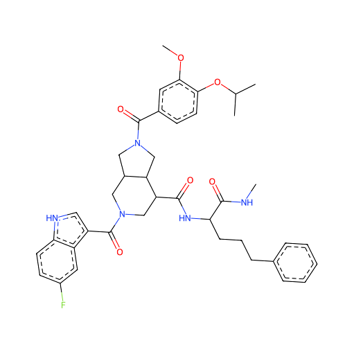 CNC(=O)C(CCCc1ccccc1)NC(=O)C1CN(C(=O)c2c[nH]c3ccc(F)cc23)CC2CN(C(=O)c3ccc(OC(C)C)c(OC)c3)CC21